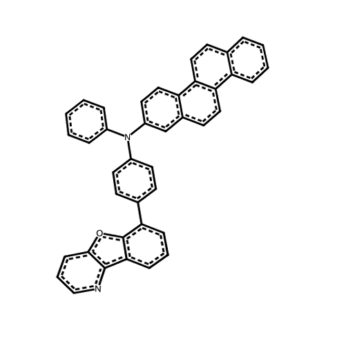 c1ccc(N(c2ccc(-c3cccc4c3oc3cccnc34)cc2)c2ccc3c(ccc4c5ccccc5ccc34)c2)cc1